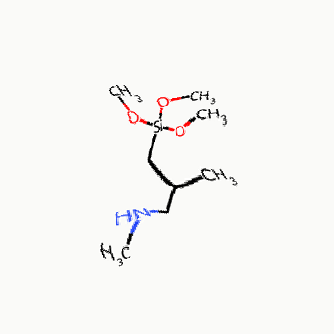 CNCC(C)C[Si](OC)(OC)OC